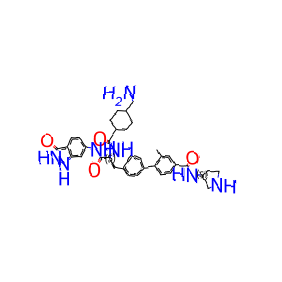 Cc1cc(C(=O)N[C@H]2CCNC2)ccc1-c1ccc(C[C@H](NC(=O)C2CCC(CN)CC2)C(=O)Nc2ccc3c(=O)[nH][nH]c3c2)cc1